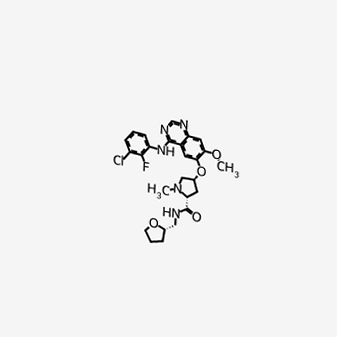 COc1cc2ncnc(Nc3cccc(Cl)c3F)c2cc1O[C@H]1C[C@H](C(=O)NC[C@@H]2CCCO2)N(C)C1